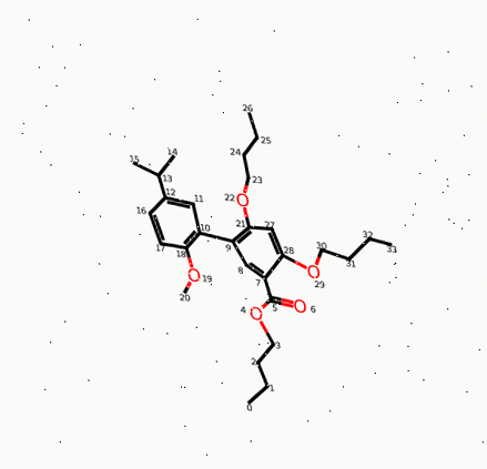 CCCCOC(=O)c1cc(-c2cc(C(C)C)ccc2OC)c(OCCCC)cc1OCCCC